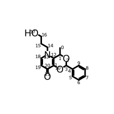 CC1OC(c2ccccc2)Oc2c1n(CCCO)ccc2=O